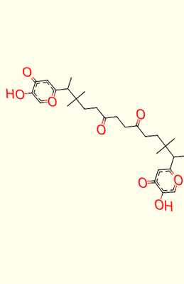 CC(c1cc(=O)c(O)co1)C(C)(C)CCC(=O)CCC(=O)CCC(C)(C)C(C)c1cc(=O)c(O)co1